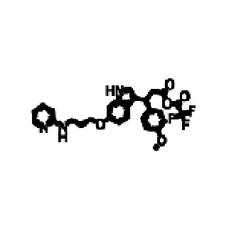 COc1ccc(C(CC(=O)OC(=O)C(F)(F)F)c2c[nH]c3cc(OCCCNc4ccccn4)ccc23)cc1